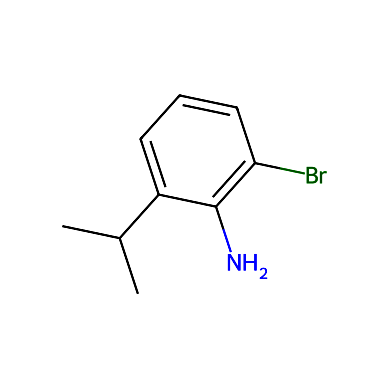 CC(C)c1cccc(Br)c1N